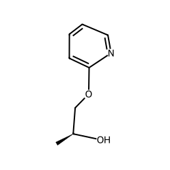 C[C@H](O)COc1ccccn1